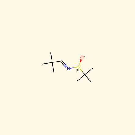 CC(C)(C)C=N[S@@+]([O-])C(C)(C)C